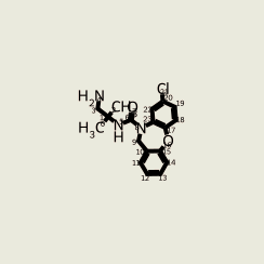 CC(C)(CN)NC(=O)N1Cc2ccccc2Oc2ccc(Cl)cc21